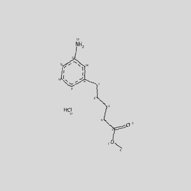 COC(=O)CCCCc1cccc(N)c1.Cl